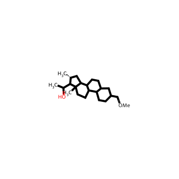 COCC1CCC2C(CCC3C2CCC2(C)C3C[C@@H](C)C2C(C)O)C1